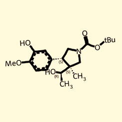 COc1ccc([C@@H]2CN(C(=O)OC(C)(C)C)C[C@@]2(C)[C@@H](C)O)cc1O